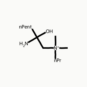 CCCCCC(N)(O)C[N+](C)(C)CCC